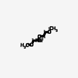 Br.COCCOCCOC